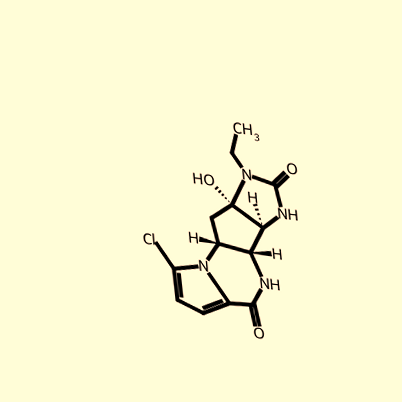 CCN1C(=O)N[C@H]2[C@@H]3NC(=O)c4ccc(Cl)n4[C@@H]3C[C@]21O